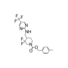 Cc1ccc(COC(=O)N2CCC(CNc3ncc(C(F)(F)F)cn3)C(F)(F)C2)cc1